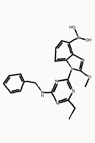 CCc1nc(NCc2ccccc2)nc(-n2c(OC)nc3c(B(O)O)cccc32)n1